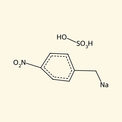 O=S(=O)(O)O.O=[N+]([O-])c1ccc([CH2][Na])cc1